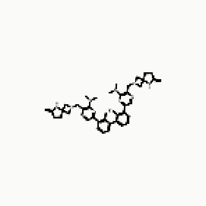 C=C1CCC2(CN(Cc3ncc(-c4cccc(-c5cccc(-c6cnc(CN7CC8(CCC(=C)N8)C7)c(N(C)C)n6)c5Cl)c4C)nc3N(C)C)C2)N1